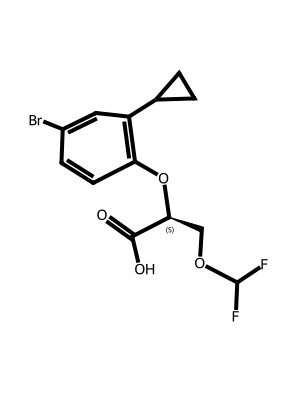 O=C(O)[C@H](COC(F)F)Oc1ccc(Br)cc1C1CC1